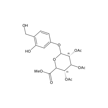 COC(=O)C1OC(Oc2ccc(CO)c(O)c2)[C@H](OC(C)=O)C(OC(C)=O)[C@@H]1OC(C)=O